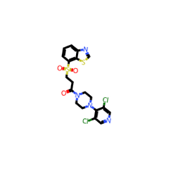 O=C(CCS(=O)(=O)c1cccc2ncsc12)N1CCN(c2c(Cl)cncc2Cl)CC1